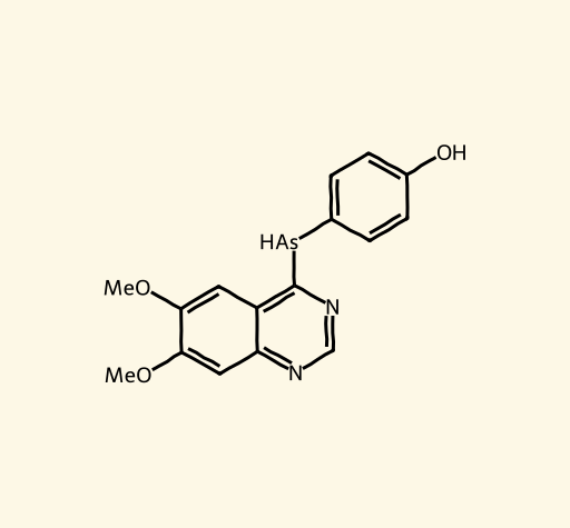 COc1cc2ncnc([AsH]c3ccc(O)cc3)c2cc1OC